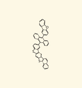 c1ccc2c(c1)ccc1c3cc4c(cc3sc21)sc1ccc(-c2c3ccccc3c(-c3ccc5oc6ccccc6c5c3)c3ccccc23)cc14